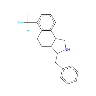 FC(F)(F)c1cccc2c1CCC1C(Cc3ccccc3)NCC21